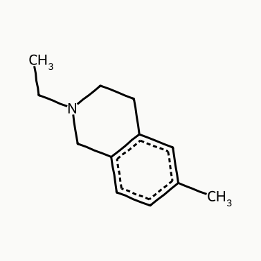 CCN1CCc2cc(C)ccc2C1